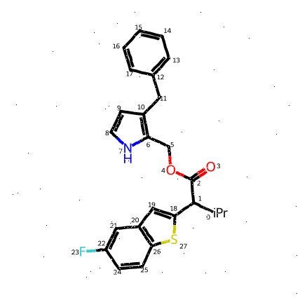 CC(C)C(C(=O)OCc1[nH]ccc1Cc1ccccc1)c1cc2cc(F)ccc2s1